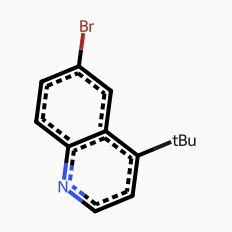 CC(C)(C)c1ccnc2ccc(Br)cc12